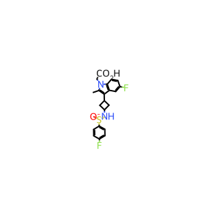 Cc1c(C2CC(N[S+]([O-])c3ccc(F)cc3)C2)c2cc(F)ccc2n1CC(=O)O